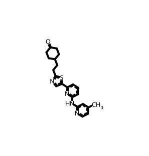 Cc1ccnc(Nc2cccc(-c3cnc(CCC4CCC(=O)CC4)s3)n2)c1